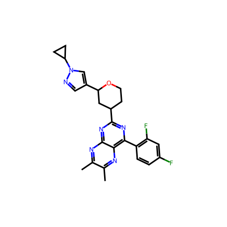 Cc1nc2nc(C3CCOC(c4cnn(C5CC5)c4)C3)nc(-c3ccc(F)cc3F)c2nc1C